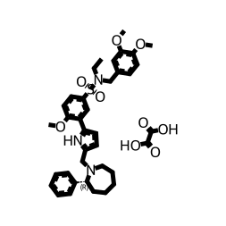 CCN(Cc1ccc(OC)c(OC)c1)S(=O)(=O)c1ccc(OC)c(-c2ccc(CN3CCCCC[C@@H]3c3ccccc3)[nH]2)c1.O=C(O)C(=O)O